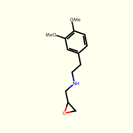 COc1ccc(CCNCC2CO2)cc1OC